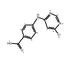 O=C(O)c1ccc(Nc2cc(Cl)ncn2)cc1